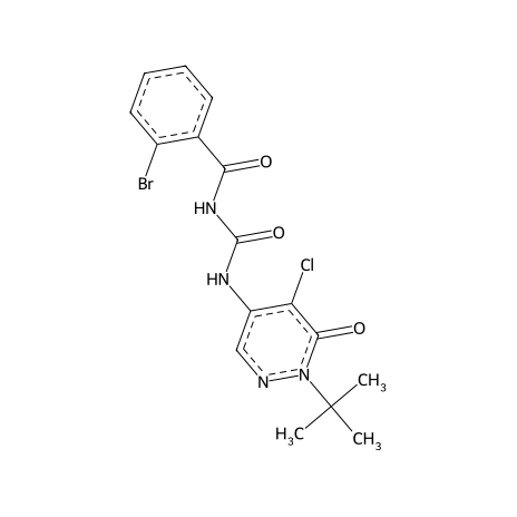 CC(C)(C)n1ncc(NC(=O)NC(=O)c2ccccc2Br)c(Cl)c1=O